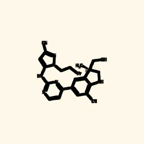 CC(C)CCn1nc(C#N)cc1Nc1nccc(-c2cc(C#N)c3c(c2)[C@@](C)(CO)CN3)n1